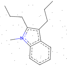 CCCc1c(CCC)n(C)c2ccccc12